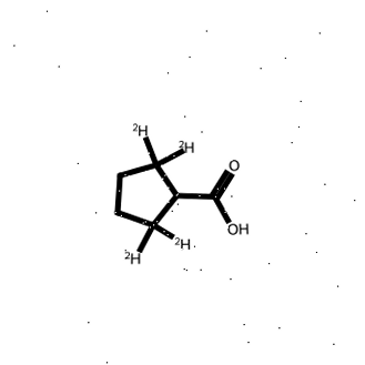 [2H]C1([2H])CCC([2H])([2H])C1C(=O)O